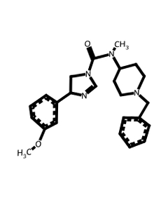 COc1cccc(C2CN(C(=O)N(C)C3CCN(Cc4ccccc4)CC3)C=N2)c1